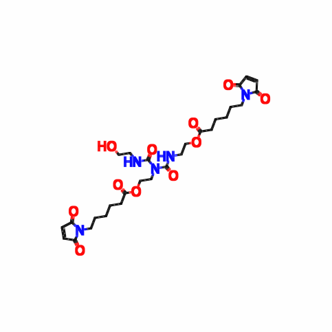 O=C(CCCCCN1C(=O)C=CC1=O)OCCNC(=O)N(CCOC(=O)CCCCCN1C(=O)C=CC1=O)C(=O)NCCO